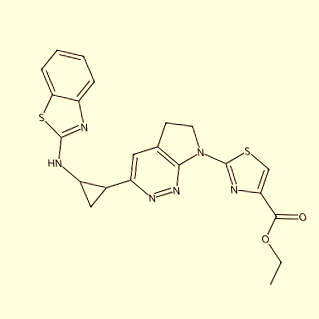 CCOC(=O)c1csc(N2CCc3cc(C4CC4Nc4nc5ccccc5s4)nnc32)n1